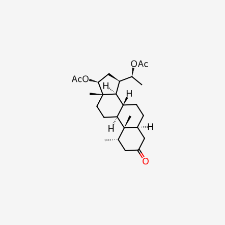 CC(=O)O[C@@H](C)[C@@H]1C[C@H](OC(C)=O)[C@@]2(C)CC[C@H]3[C@@H](CC[C@H]4CC(=O)C[C@H](C)[C@@]43C)[C@H]12